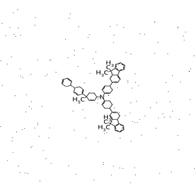 CC1(C2=CCC(C3C=CC=CC3)C=C2)C=CC(N(C2=CCC(C3=CC=C4c5ccccc5C(C)(C)C4C3)C=C2)C2=CCC(C3=CCC4C(=C3)C(C)(C)c3ccccc34)CC2)CC1